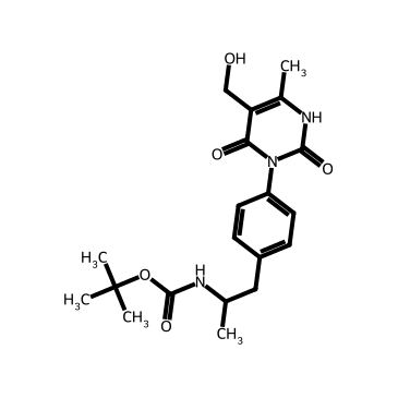 Cc1[nH]c(=O)n(-c2ccc(CC(C)NC(=O)OC(C)(C)C)cc2)c(=O)c1CO